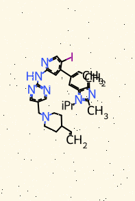 C=CC1CCN(Cc2cnc(Nc3cc(C(=C/C)/C=c4\c(=C)nc(C)n4C(C)C)c(I)cn3)nc2)CC1